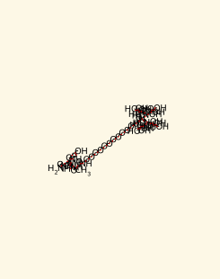 CC(C)[C@H](NC(=O)[C@@H](C)CCC(=O)NCCOCCOCCOCCOCCOCCOCCOCCOCCOCCOCCOCCOCCC(=O)N(CCN(C[C@H](O)[C@@H](O)[C@H](O)[C@H](O)CO)C[C@H](O)[C@@H](O)[C@H](O)[C@H](O)CO)CCN(C[C@H](O)[C@@H](O)[C@H](O)[C@H](O)CO)C[C@H](O)[C@@H](O)[C@H](O)[C@H](O)CO)C(=O)N[C@@H](CCCNC(N)=O)C(=O)Nc1ccc(CO)cc1